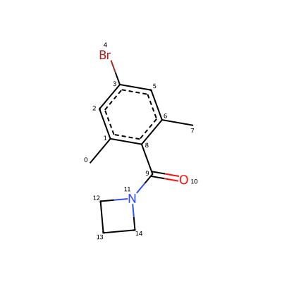 Cc1cc(Br)cc(C)c1C(=O)N1CCC1